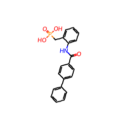 O=C(Nc1ccccc1CP(=O)(O)O)c1ccc(-c2ccccc2)cc1